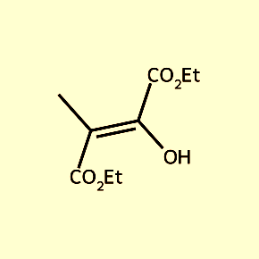 CCOC(=O)/C(C)=C(\O)C(=O)OCC